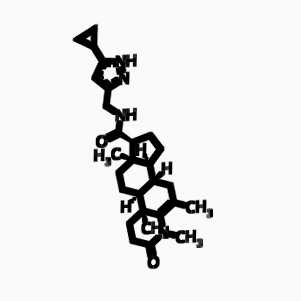 CC1=C2N(C)C(=O)CC[C@]2(C)[C@H]2CC[C@]3(C)[C@@H](C(=O)NCc4cc(C5CC5)[nH]n4)CC[C@H]3[C@@H]2C1